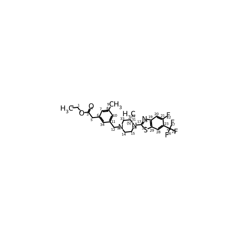 CCOC(=O)Cc1cc(C)cc(CN2CCN(c3nc4cc(F)c(C(F)(F)F)cc4s3)[C@@H](C)C2)c1